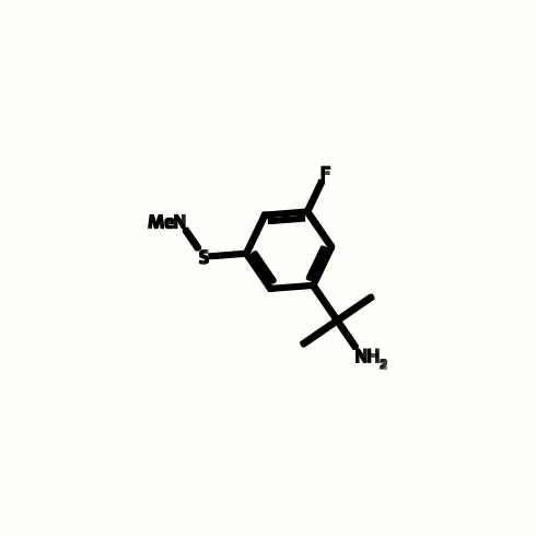 CNSc1cc(F)cc(C(C)(C)N)c1